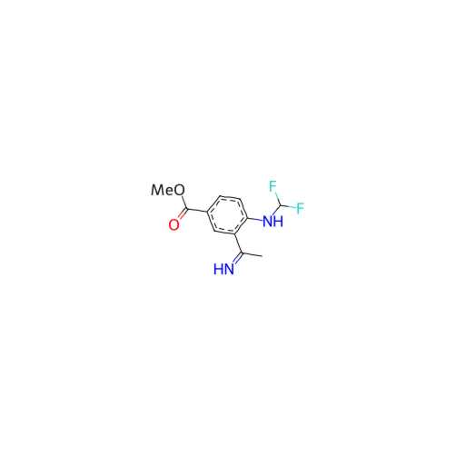 COC(=O)c1ccc(NC(F)F)c(C(C)=N)c1